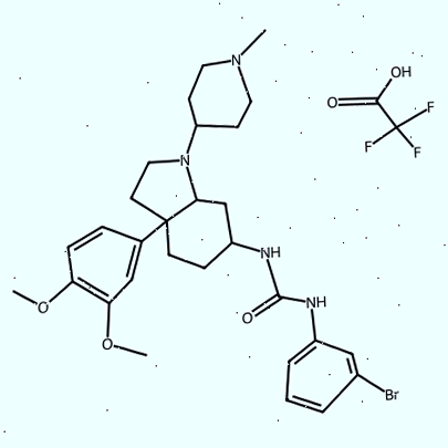 COc1ccc(C23CCC(NC(=O)Nc4cccc(Br)c4)CC2N(C2CCN(C)CC2)CC3)cc1OC.O=C(O)C(F)(F)F